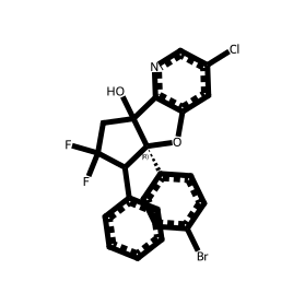 OC12CC(F)(F)C(c3ccccc3)[C@]1(c1ccc(Br)cc1)Oc1cc(Cl)cnc12